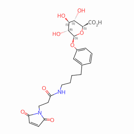 O=C(CCN1C(=O)C=CC1=O)NCCCCc1cccc(O[C@@H]2O[C@H](C(=O)O)[C@@H](O)[C@H](O)[C@H]2O)c1